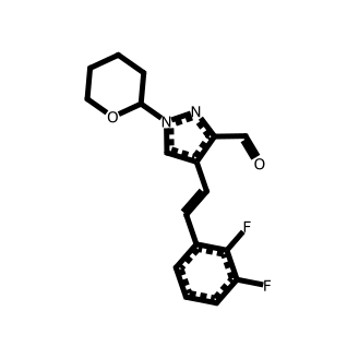 O=Cc1nn(C2CCCCO2)cc1/C=C/c1cccc(F)c1F